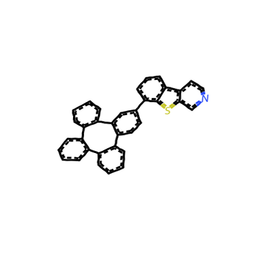 c1ccc2c(c1)-c1ccccc1-c1ccc(-c3cccc4c3sc3cnccc34)cc1-c1ccccc1-2